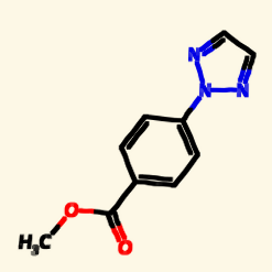 COC(=O)c1ccc(-n2nccn2)cc1